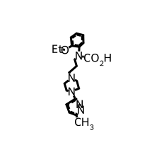 CCOc1ccccc1N(CCCN1CCN(c2ccc(C)nn2)CC1)C(=O)O